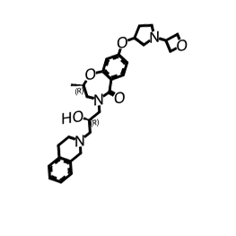 C[C@@H]1CN(C[C@H](O)CN2CCc3ccccc3C2)C(=O)c2ccc(OC3CCN(C4COC4)C3)cc2O1